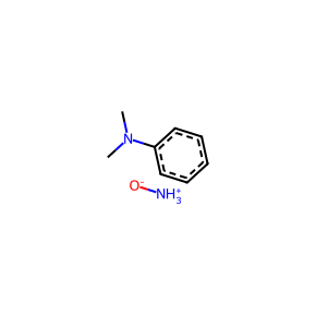 CN(C)c1ccccc1.[NH3+][O-]